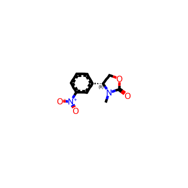 CN1C(=O)OC[C@H]1c1cccc([N+](=O)[O-])c1